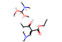 CCOC(=O)C(=CN(C)C)C(=O)CC.COC(OC)N(C)C